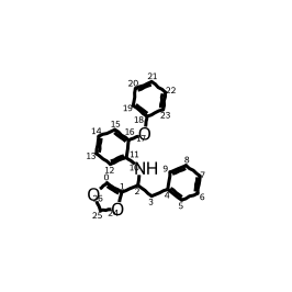 C1=C(C(Cc2ccccc2)Nc2ccccc2Oc2ccccc2)OCO1